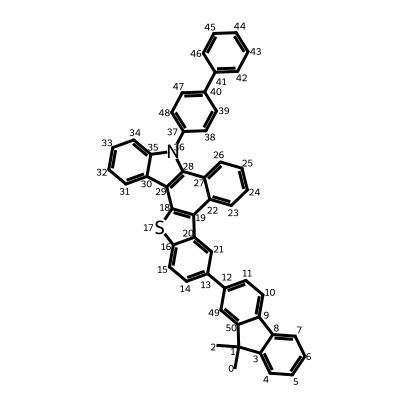 CC1(C)c2ccccc2-c2ccc(-c3ccc4sc5c(c4c3)c3ccccc3c3c5c4ccccc4n3-c3ccc(-c4ccccc4)cc3)cc21